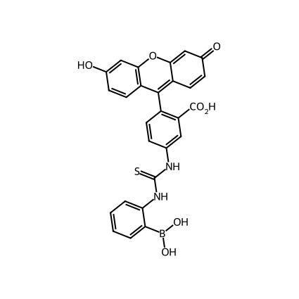 O=C(O)c1cc(NC(=S)Nc2ccccc2B(O)O)ccc1-c1c2ccc(=O)cc-2oc2cc(O)ccc12